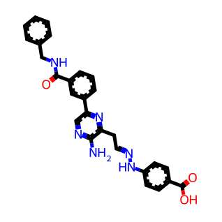 Nc1ncc(-c2cccc(C(=O)NCc3ccccc3)c2)nc1CC=NNc1ccc(C(=O)O)cc1